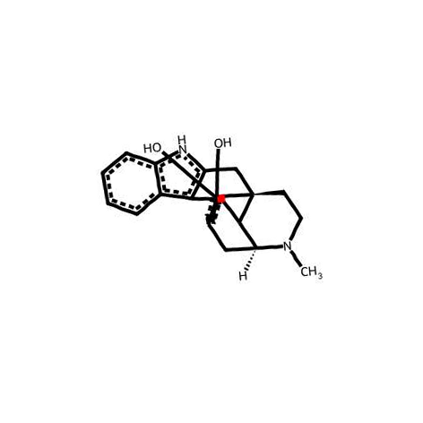 CN1CC[C@@]23Cc4[nH]c5ccccc5c4CC2[C@@H]1Cc1ccc(O)c(O)c13